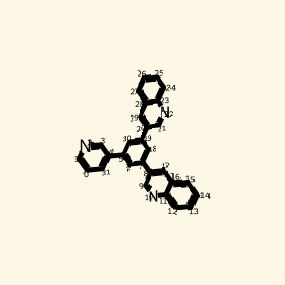 c1cncc(-c2cc(-c3cnc4ccccc4c3)cc(-c3cnc4ccccc4c3)c2)c1